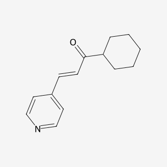 O=C(/C=C/c1ccncc1)C1CCCCC1